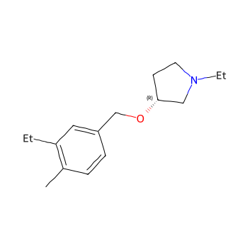 CCc1cc(CO[C@@H]2CCN(CC)C2)ccc1C